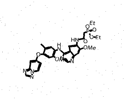 CCOP(=O)(CC(=O)Nc1cc2c(Nc3cc(C)c(Oc4ccn5ncnc5c4)cc3OC)ncnc2cc1OC)OCC